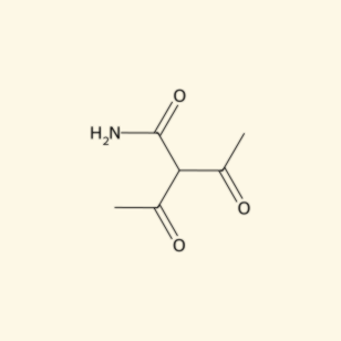 CC(=O)C(C(C)=O)C(N)=O